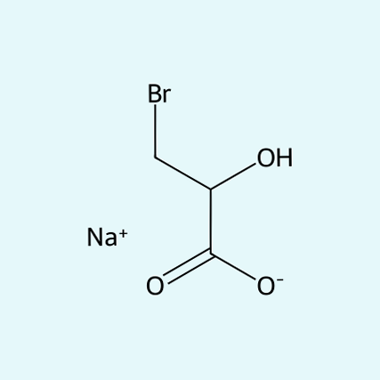 O=C([O-])C(O)CBr.[Na+]